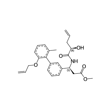 C=CCOc1cccc(C)c1-c1cccc([C@H](CC(=O)OC)NC(=O)[C@H](O)CC=C)c1